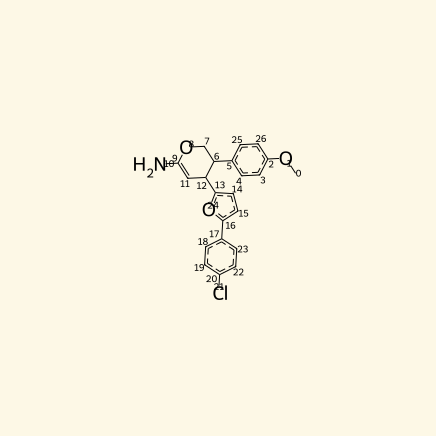 COc1ccc(C2COC(N)=CC2c2ccc(-c3ccc(Cl)cc3)o2)cc1